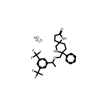 CC(OCC1(c2ccccc2)CCC2(CCC(=O)N2)CN1)c1cc(C(F)(F)F)cc(C(F)(F)F)c1.Cl.O